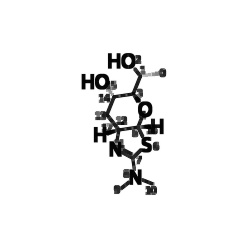 C[C@@H](O)[C@H]1O[C@@H]2SC(N(C)C)=N[C@@H]2C[C@@H]1O